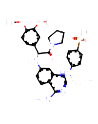 CCOc1cc([C@H](Nc2ccc3c(N)nccc3c2)C(=O)N2CCC[C@@H]2c2cc(NC(=O)O)ccc2S(=O)(=O)CC)ccc1OC(C)C